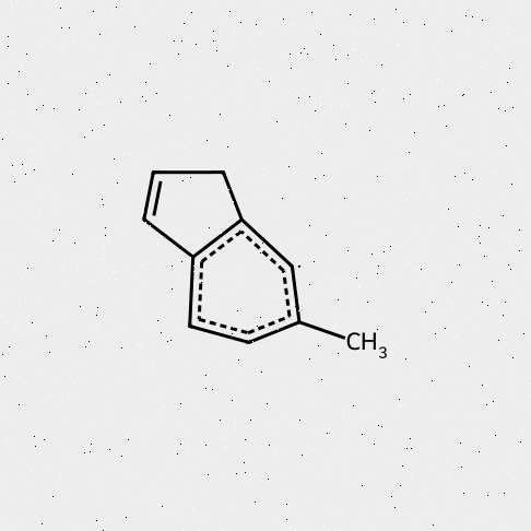 Cc1[c]c2c(cc1)C=CC2